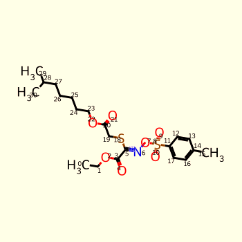 CCOC(=O)/C(=N/OS(=O)(=O)c1ccc(C)cc1)SCC(=O)OCCCCCC(C)C